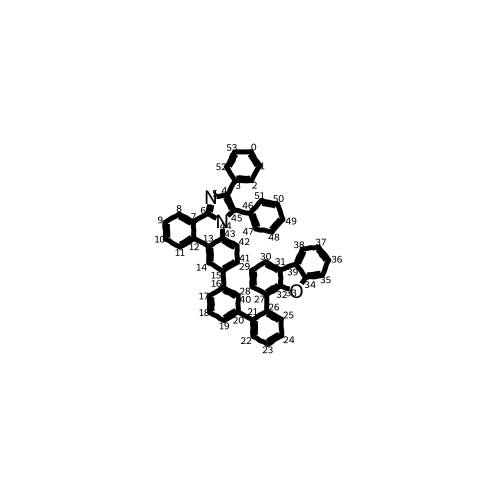 c1ccc(-c2nc3c4ccccc4c4cc(-c5cccc(-c6ccccc6-c6cccc7c6oc6ccccc67)c5)ccc4n3c2-c2ccccc2)cc1